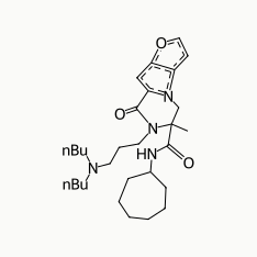 CCCCN(CCCC)CCCN1C(=O)c2cc3occc3n2CC1(C)C(=O)NC1CCCCCC1